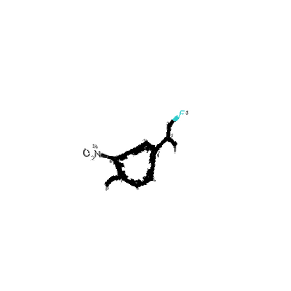 C[C](CF)c1ccc(C)c([N+](=O)[O-])c1